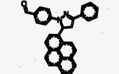 O=Cc1ccc(N2N=C(c3ccccc3)CC2c2ccc3ccc4cccc5ccc2c3c45)cc1